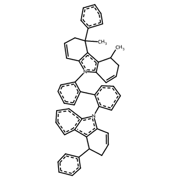 CC1CC=Cc2c1c1c(n2-c2ccccc2-c2ccccc2-n2c3c(c4ccccc42)C(c2ccccc2)CC=C3)C=CCC1(C)c1ccccc1